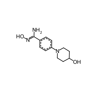 N/C(=N\O)c1ccc(N2CCC(O)CC2)cc1